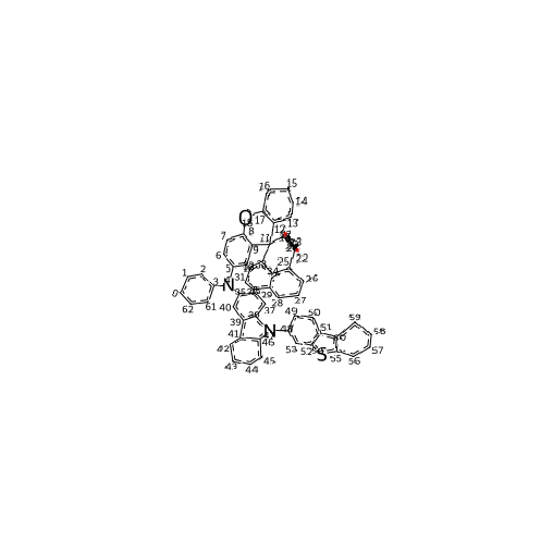 c1ccc(N(c2ccc3c(c2)C2(c4ccccc4O3)c3ccccc3-c3cccc4cccc2c34)c2ccc3c(c2)c2ccccc2n3-c2ccc3c(c2)sc2ccccc23)cc1